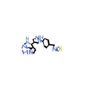 S=C=NCC1C=CC(N2C=C(C3=c4cc[nH]c4=NCN3)CN2)CC1